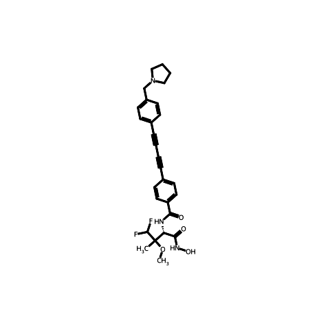 COC(C)(C(F)F)[C@H](NC(=O)c1ccc(C#CC#Cc2ccc(CN3CCCC3)cc2)cc1)C(=O)NO